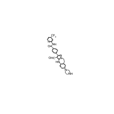 O=Cc1c(-c2ccc(C(=O)Nc3cc(C(F)(F)F)ccn3)cc2)nn2c1Nc1ccc(N3CCNCC3)cc1CC2